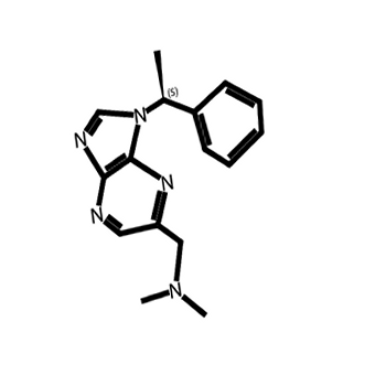 C[C@@H](c1ccccc1)n1cnc2ncc(CN(C)C)nc21